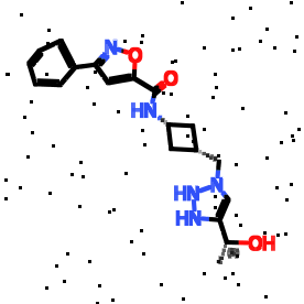 C[C@@H](O)C1=CN(C[C@H]2C[C@@H](NC(=O)c3cc(-c4ccccc4)no3)C2)NN1